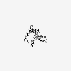 CCCCCCCC[PH](CC)(CC)CC.CCCCCC[PH](CCCC)(CCCC)CCCC